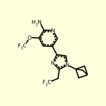 Nc1ncc(-c2cn(C34CC(C3)C4)c(CC(F)(F)F)n2)cc1OC(F)(F)F